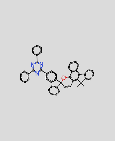 CC1(C)c2ccccc2-c2c1c1c(c3ccccc23)OC(c2ccccc2)(c2ccc(-c3nc(-c4ccccc4)nc(-c4ccccc4)n3)cc2)C=C1